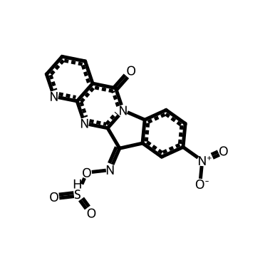 O=c1c2cccnc2nc2n1-c1ccc([N+](=O)[O-])cc1C2=NO[SH](=O)=O